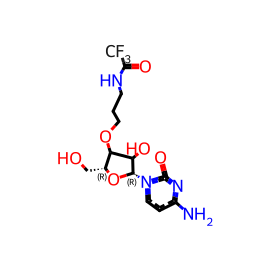 Nc1ccn([C@@H]2O[C@H](CO)C(OCCCNC(=O)C(F)(F)F)C2O)c(=O)n1